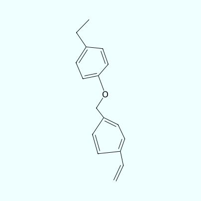 C=Cc1ccc(COc2ccc(CC)cc2)cc1